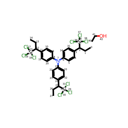 CCC(c1ccc(N(c2ccc(C(CC)[Si](Cl)(Cl)Cl)cc2)c2ccc(C(CC)[Si](Cl)(Cl)Cl)cc2)cc1)[Si](Cl)(Cl)Cl.CCO